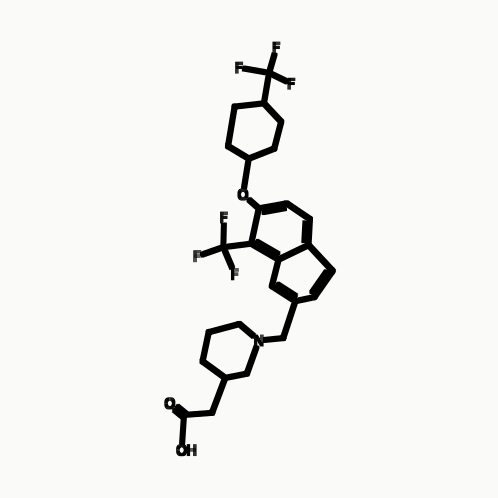 O=C(O)CC1CCCN(Cc2ccc3ccc(OC4CCC(C(F)(F)F)CC4)c(C(F)(F)F)c3c2)C1